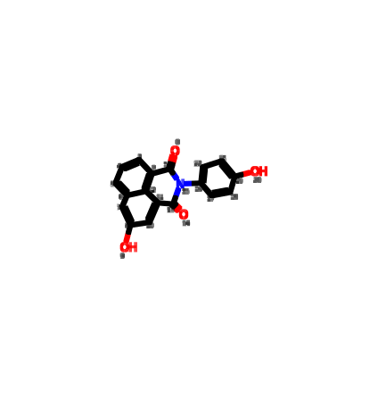 O=C1c2cccc3cc(O)cc(c23)C(=O)N1c1ccc(O)cc1